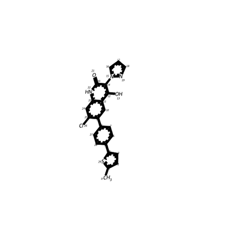 Cc1ccc(-c2ccc(-c3cc4c(O)c(-n5cccn5)c(=O)[nH]c4cc3Cl)cc2)s1